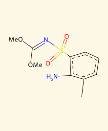 COC(=NS(=O)(=O)c1cccc(C)c1N)OC